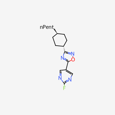 CCCCC[C@H]1CC[C@H](c2noc(-c3cnc(F)nc3)n2)CC1